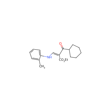 CCOC(=O)/C(=C\Nc1ccccc1C)C(=O)C1CCCCC1